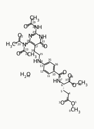 COC(=O)CC[C@H](NC(=O)c1ccc(NCCc2c(N(C(C)=O)C(C)=O)nc(NC(C)=O)[nH]c2=O)cc1)C(=O)OC.O